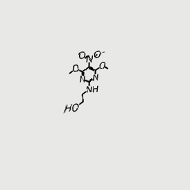 COc1nc(NCCO)nc(OC)c1[N+](=O)[O-]